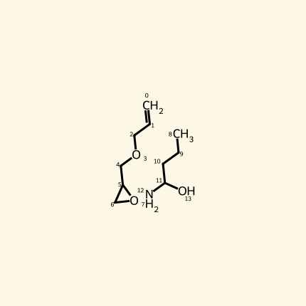 C=CCOCC1CO1.CCCC(N)O